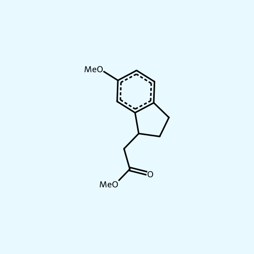 COC(=O)CC1CCc2ccc(OC)cc21